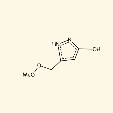 COOCc1cc(O)n[nH]1